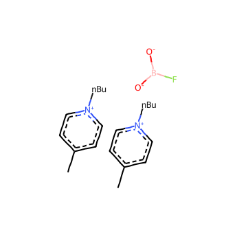 CCCC[n+]1ccc(C)cc1.CCCC[n+]1ccc(C)cc1.[O-]B([O-])F